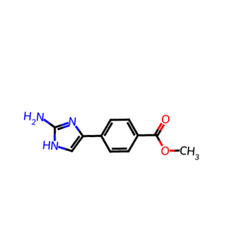 COC(=O)c1ccc(-c2c[nH]c(N)n2)cc1